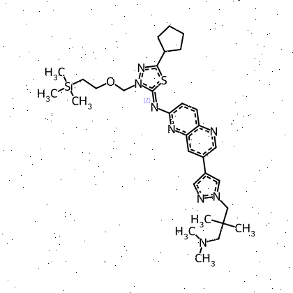 CN(C)CC(C)(C)Cn1cc(-c2cnc3ccc(/N=c4\sc(C5CCCC5)nn4COCC[Si](C)(C)C)nc3c2)cn1